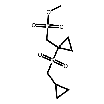 COS(=O)(=O)CC1(S(=O)(=O)CC2CC2)CC1